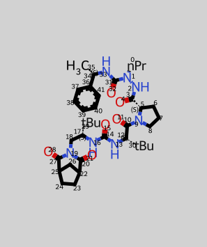 CCCN(NC(=O)[C@@H]1CCCN1C(=O)[C@@H](NC(=O)N[C@H](CN1C(=O)C2CCC(C2)C1=O)C(C)(C)C)C(C)(C)C)C(=O)N[C@@H](C)c1ccccc1